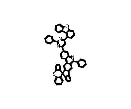 c1ccc(-c2nc(-c3ccc4c(c3)nc(-c3ccccc3)c3cc5c(cc34)C3(c4ccccc4Sc4ccccc43)c3ccccc3-5)cc(-c3cccc4oc5ccccc5c34)n2)cc1